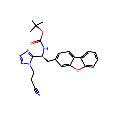 CC(C)(C)OC(=O)N[C@@H](Cc1ccc2c(c1)oc1ccccc12)c1nnnn1CCC#N